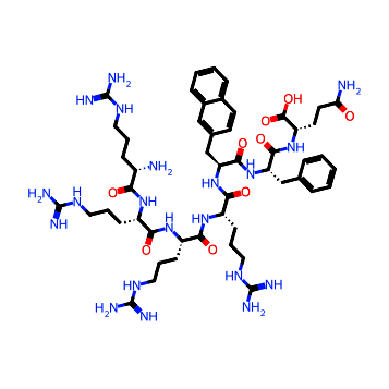 N=C(N)NCCC[C@H](NC(=O)[C@H](CCCNC(=N)N)NC(=O)[C@H](CCCNC(=N)N)NC(=O)[C@@H](N)CCCNC(=N)N)C(=O)N[C@@H](Cc1ccc2ccccc2c1)C(=O)N[C@@H](Cc1ccccc1)C(=O)N[C@@H](CCC(N)=O)C(=O)O